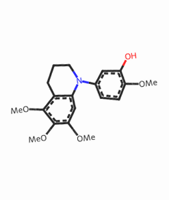 COc1ccc(N2CCCc3c2cc(OC)c(OC)c3OC)cc1O